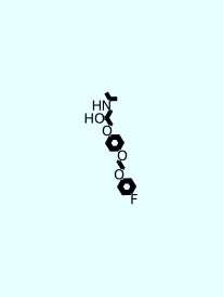 CC(C)NCC(O)COc1ccc(OCCOc2ccc(F)cc2)cc1